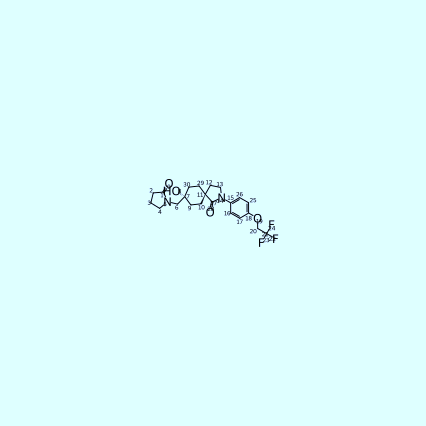 O=C1CCCN1C[C@]1(O)CC[C@]2(CCN(c3ccc(OCC(F)(F)F)cc3)C2=O)CC1